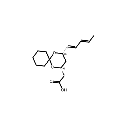 CC=CC=C[C@@H]1C[C@H](CC(=O)O)OC2(CCCCC2)O1